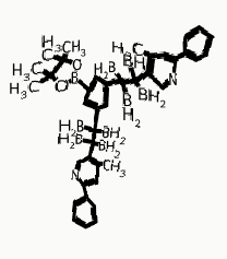 BC(B)(c1cc(B2OC(C)(C)C(C)(C)O2)cc(C(B)(B)C(B)(B)c2cnc(-c3ccccc3)cc2C)c1)C(B)(B)c1cnc(-c2ccccc2)cc1C